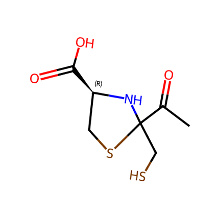 CC(=O)C1(CS)N[C@H](C(=O)O)CS1